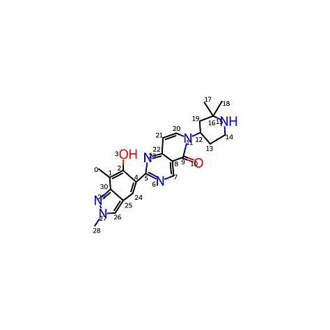 Cc1c(O)c(-c2ncc3c(=O)n(C4CCNC(C)(C)C4)ccc3n2)cc2cn(C)nc12